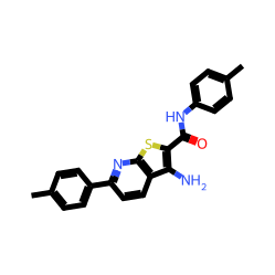 Cc1ccc(NC(=O)c2sc3nc(-c4ccc(C)cc4)ccc3c2N)cc1